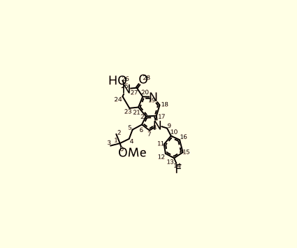 COC(C)(C)CCc1cn(Cc2ccc(F)cc2)c2cnc3c(c12)CCN(O)C3=O